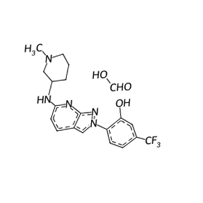 CN1CCCC(Nc2ccc3cn(-c4ccc(C(F)(F)F)cc4O)nc3n2)C1.O=CO